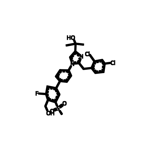 CC(C)(O)c1cn(-c2ccc(-c3cc(F)c(CO)c(S(C)(=O)=O)c3)cc2)c(Cc2ccc(Cl)cc2Cl)n1